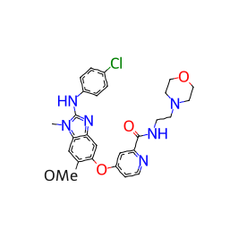 COc1cc2c(cc1Oc1ccnc(C(=O)NCCN3CCOCC3)c1)nc(Nc1ccc(Cl)cc1)n2C